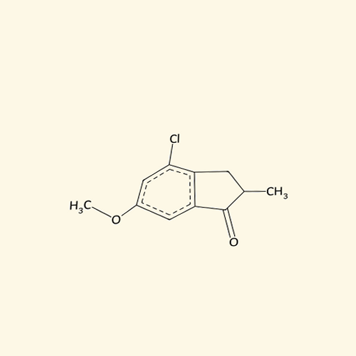 COc1cc(Cl)c2c(c1)C(=O)C(C)C2